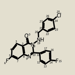 O=c1c2ccc(F)cc2nc(-c2ccc(F)cc2)n1NCc1ccc(Cl)cc1